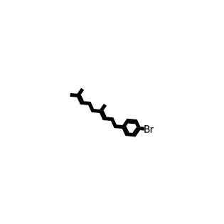 CC(C)=CCC/C(C)=C/CCc1ccc(Br)cc1